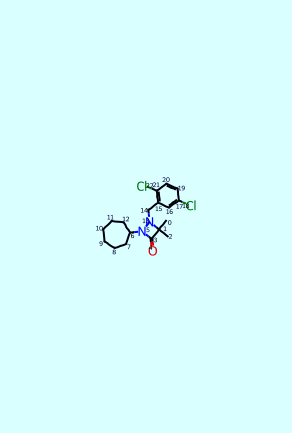 CC1(C)C(=O)N(C2CCCCCC2)N1Cc1cc(Cl)ccc1Cl